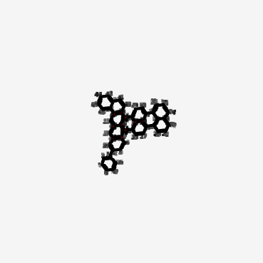 c1ccc(-c2ccc(N(c3ccccc3)c3ccc(-c4cccc5cccc(-c6ccc(N(c7ccccc7)c7ccc8ccccc8c7)cc6)c45)cc3)cc2)cc1